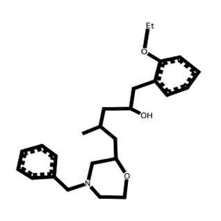 CCOc1ccccc1CC(O)CC(C)CC1CN(Cc2ccccc2)CCO1